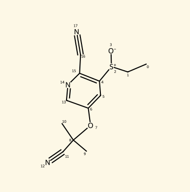 CC[S+]([O-])c1cc(OC(C)(C)C#N)cnc1C#N